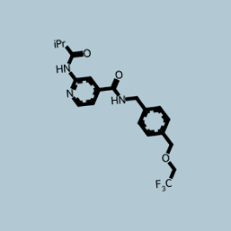 CC(C)C(=O)Nc1cc(C(=O)NCc2ccc(COCC(F)(F)F)cc2)ccn1